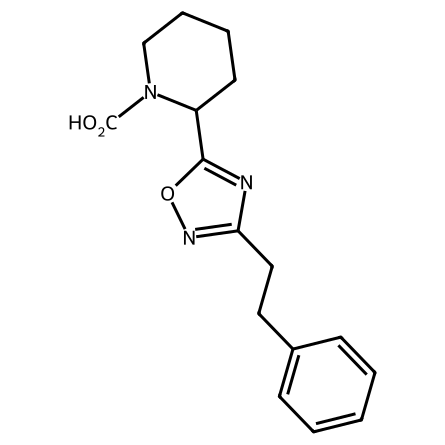 O=C(O)N1CCCCC1c1nc(CCc2ccccc2)no1